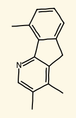 Cc1cnc2c(c1C)Cc1cccc(C)c1-2